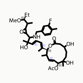 CC[C@H](OC)C(C)C1OC1C(NCc1ccc(C)c(F)c1)C(C)(O)/C=C/C=C(\C)[C@H]1OC(=O)CC(O)CCC(C)(O)[C@@H](OC(C)=O)/C=C/C1C